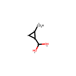 O=C(O)C1CC1C(O)O